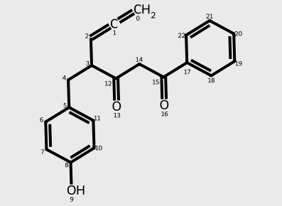 C=C=CC(Cc1ccc(O)cc1)C(=O)CC(=O)c1ccccc1